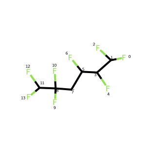 FC(F)C(F)C(F)[CH]C(F)(F)C(F)F